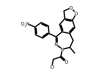 CC1Cc2cc3c(cc2C(c2ccc([N+](=O)[O-])cc2)=NN1C(=O)CCl)COO3